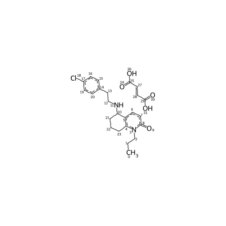 CCCn1c2c(ccc1=O)C(NCCc1ccc(Cl)cc1)CCC2.O=C(O)/C=C/C(=O)O